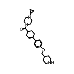 O=C(C1CC=C(c2ccc(OCC3CCNCC3)cc2)CC1)N1CCN(C2CC2)CC1